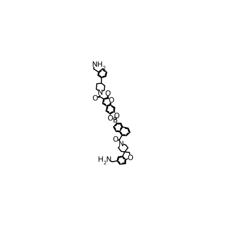 NCc1cccc(C2CCN(C(=O)c3cc4cc5c(cc4oc3=O)OB(c3ccc4c(C(=O)N6CCC7(CC6)COc6ccc(CN)cc67)cccc4c3)O5)CC2)c1